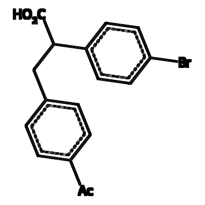 CC(=O)c1ccc(CC(C(=O)O)c2ccc(Br)cc2)cc1